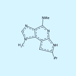 CNc1nc2[nH]c(C(C)C)cc2c2c1ncn2C